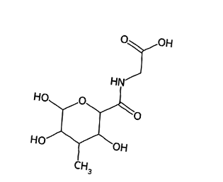 CC1C(O)C(O)OC(C(=O)NCC(=O)O)C1O